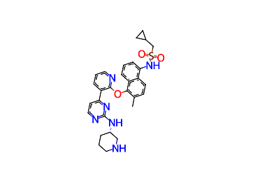 Cc1ccc2c(NS(=O)(=O)CC3CC3)cccc2c1Oc1ncccc1-c1ccnc(N[C@H]2CCCNC2)n1